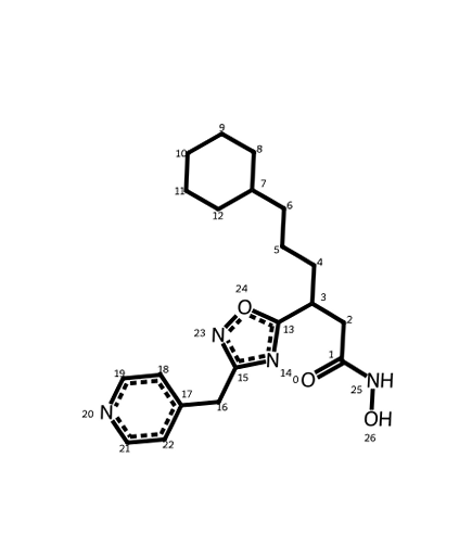 O=C(CC(CCCC1CCCCC1)c1nc(Cc2ccncc2)no1)NO